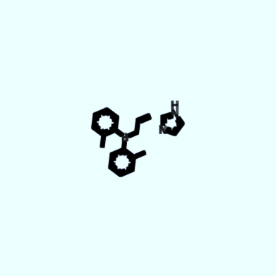 C=CCB(c1ccccc1C)c1ccccc1C.c1c[nH]cn1